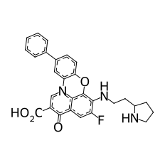 O=C(O)c1cn2c3c(c(NCCC4CCCN4)c(F)cc3c1=O)Oc1ccc(-c3ccccc3)cc1-2